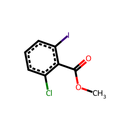 COC(=O)c1c(Cl)cccc1I